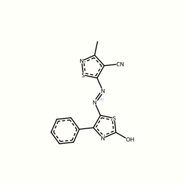 Cc1nsc(/N=N/c2sc(O)nc2-c2ccccc2)c1C#N